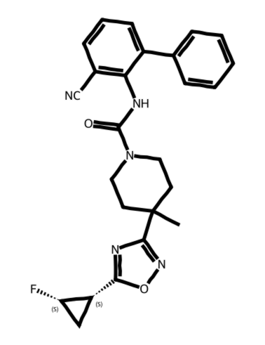 CC1(c2noc([C@@H]3C[C@@H]3F)n2)CCN(C(=O)Nc2c(C#N)cccc2-c2ccccc2)CC1